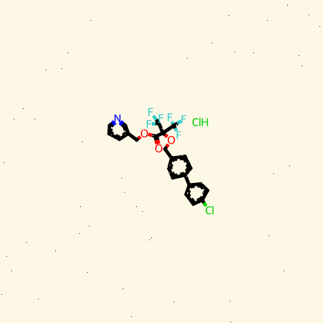 Cl.O=C(OCc1cccnc1)C(OCc1ccc(-c2ccc(Cl)cc2)cc1)(C(F)(F)F)C(F)(F)F